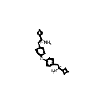 N[C@H](Cc1ccc(Oc2ccc(C[C@@H](N)C3CCC3)cc2)cc1)C1CCC1